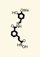 COc1ccc(/C=N/NC(=O)c2cccc(/C=C/C(=O)NO)c2)cc1O